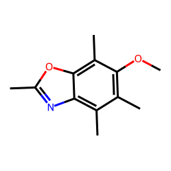 COc1c(C)c(C)c2nc(C)oc2c1C